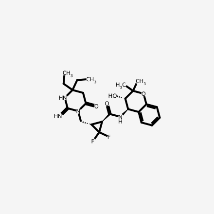 CCC1(CC)CC(=O)N(C[C@@H]2[C@@H](C(=O)N[C@@H]3c4ccccc4OC(C)(C)[C@H]3O)C2(F)F)C(=N)N1